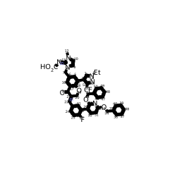 CCn1cc(-c2cc(Cn3ccn(C)/c3=N/C(=O)O)cc3c2OC/C(=C\c2ccc(F)c(-c4ccc(OCc5ccccc5)nc4OCc4ccccc4)c2)C3=O)c(C(F)(F)F)n1